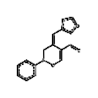 O=CC1=CON(c2ccccc2)CC1=Cc1ccoc1